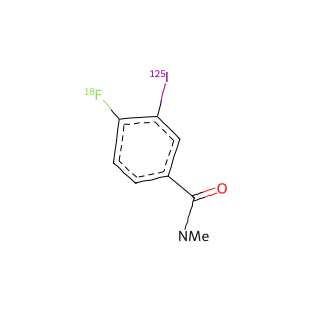 CNC(=O)c1ccc([18F])c([125I])c1